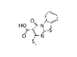 CSc1nc2sc3ccccc3n2c(=O)c1C(=O)O